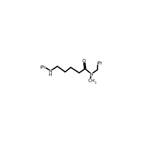 CC(C)CN(C)C(=O)CCCCNC(C)C